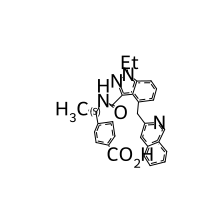 CCn1nc(C(=O)N[C@@H](C)c2ccc(C(=O)O)cc2)c2c(Cc3cc4ccccc4cn3)cccc21